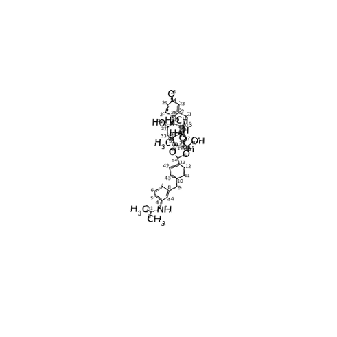 CC(C)Nc1cccc(Cc2ccc(C3O[C@@H]4C[C@H]5[C@@H]6CCC7=CC(=O)C=C[C@]7(C)[C@H]6[C@@H](O)C[C@]5(C)[C@]4(C(=O)CO)O3)cc2)c1